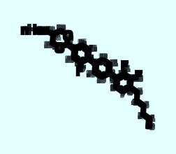 C=CCCCCc1ccc(-c2ccc(-c3ccc(C4OCC(CCCCCC)CO4)cc3F)cc2)c(F)c1F